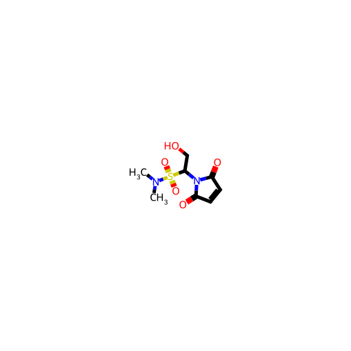 CN(C)S(=O)(=O)C(CO)N1C(=O)C=CC1=O